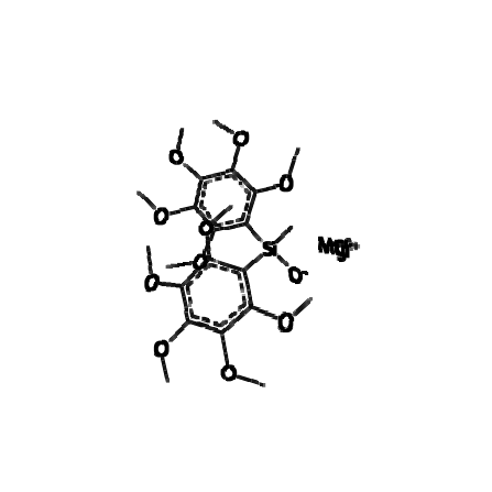 COc1c(OC)c(OC)c([Si](C)([O-])c2c(OC)c(OC)c(OC)c(OC)c2OC)c(OC)c1OC.[Cl-].[Mg+2]